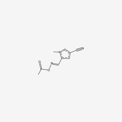 CC(=O)ON=Cc1cc(C#N)cn1C